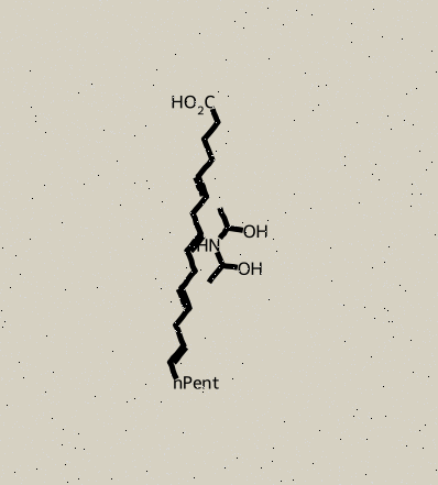 CC(O)NC(C)O.CCCCCC=CCC=CCC=CCC=CCCCC(=O)O